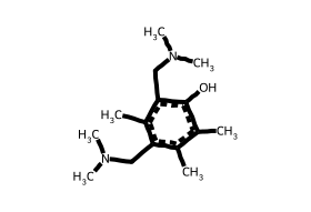 Cc1c(C)c(CN(C)C)c(C)c(CN(C)C)c1O